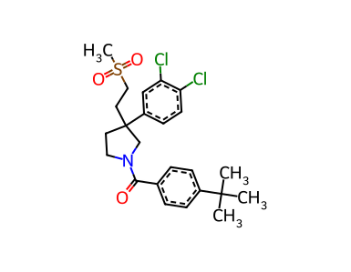 CC(C)(C)c1ccc(C(=O)N2CCC(CCS(C)(=O)=O)(c3ccc(Cl)c(Cl)c3)C2)cc1